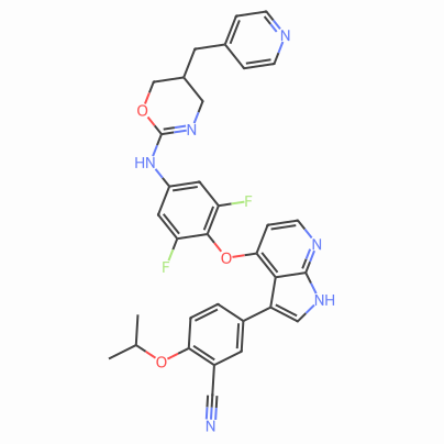 CC(C)Oc1ccc(-c2c[nH]c3nccc(Oc4c(F)cc(NC5=NCC(Cc6ccncc6)CO5)cc4F)c23)cc1C#N